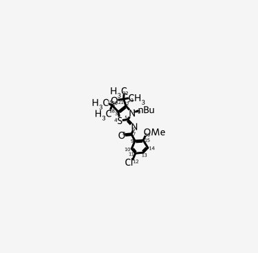 CCCCn1c2c(sc1=NC(=O)c1cc(Cl)ccc1OC)C(C)(C)OC2(C)C